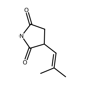 CC(C)=CC1CC(=O)[N]C1=O